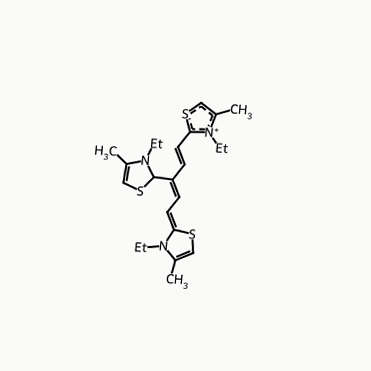 CCN1C(C)=CS\C1=C/C=C(/C=C/c1scc(C)[n+]1CC)C1SC=C(C)N1CC